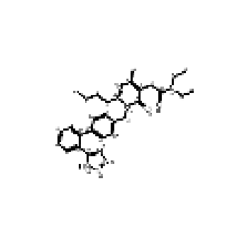 CCCCc1nc(C)c(CC(=O)N(CC)CC)c(=O)n1Cc1ccc(-c2ccccc2-c2nnn[nH]2)cc1